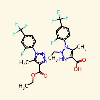 CCN1NC(C(=O)O)=C(C)N1c1ccc(C(F)(F)F)cc1F.CCOC(=O)c1nnn(-c2ccc(C(F)(F)F)cc2F)c1C